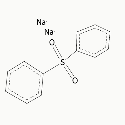 O=S(=O)(c1ccccc1)c1ccccc1.[Na].[Na]